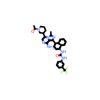 CC(=O)N1CCCC(c2cnc(N)c3c(-c4ccc(NC(=O)Nc5cccc(C(F)(F)F)c5)c5ccccc45)nc(C)n23)C1